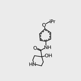 CC(C)Oc1ccc(NC(=O)C2(O)CCNCC2)cc1